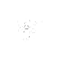 CN(C)C(=S)OC(c1cc(C(C)(C)C)c(O)c(C(C)(C)C)c1)C1CCCCC1.NC(O)=S